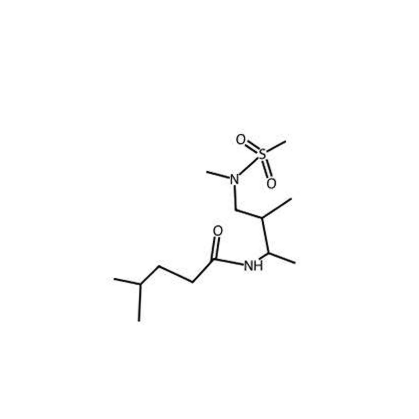 CC(C)CCC(=O)NC(C)C(C)CN(C)S(C)(=O)=O